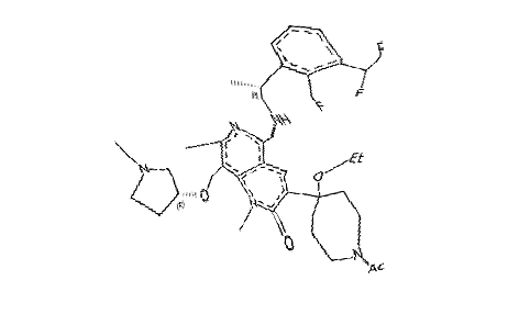 CCOC1(c2cc3c(N[C@H](C)c4cccc(C(F)F)c4F)nc(C)c(O[C@@H]4CCN(C)C4)c3n(C)c2=O)CCN(C(C)=O)CC1